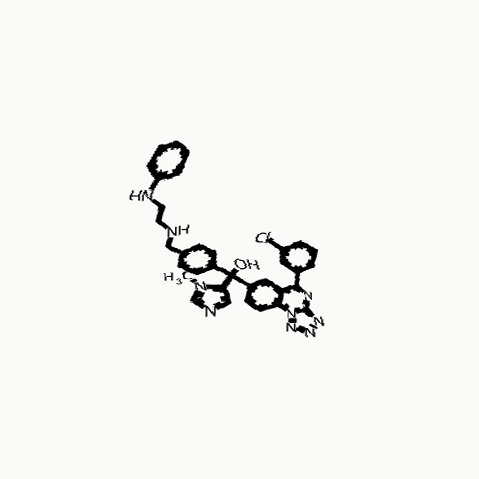 Cn1cncc1C(O)(c1ccc(CNCCNc2ccccc2)cc1)c1ccc2c(c1)c(-c1cccc(Cl)c1)nc1nnnn12